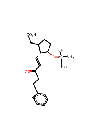 CC(C)(C)[Si](C)(C)O[C@@H]1CC[C@H](CC(=O)O)[C@H]1/C=C/C(=O)CCc1ccccc1